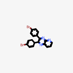 BrC1=CCC(c2nc3cccnc3nc2-c2ccc(Br)cc2)C=C1